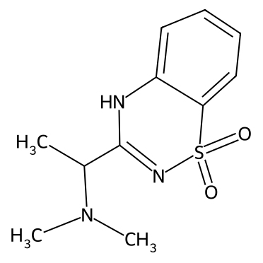 CC(C1=NS(=O)(=O)c2ccccc2N1)N(C)C